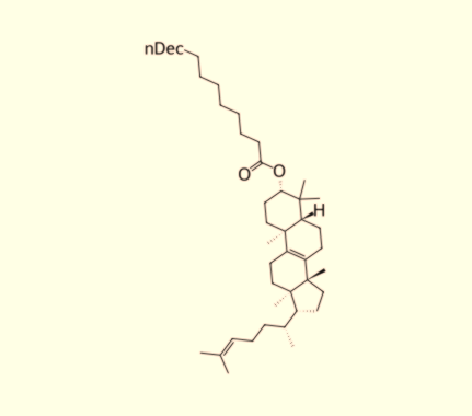 CCCCCCCCCCCCCCCCCC(=O)O[C@H]1CC[C@]2(C)C3=C(CC[C@H]2C1(C)C)[C@]1(C)CC[C@H]([C@H](C)CCC=C(C)C)[C@@]1(C)CC3